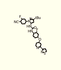 CC(C)(C)c1cc(NC(=O)Nc2ccc(Oc3ccnc(-c4ccsn4)c3)cc2F)n(-c2ccc(C#N)c(F)c2)n1